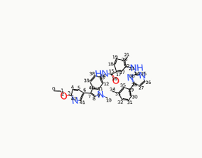 CCOc1ccc(-c2cn(C)c3cc(NC(=O)c4ccc(C)c(Nc5nccc(-c6cccc(C)c6)n5)c4)ccc23)cn1